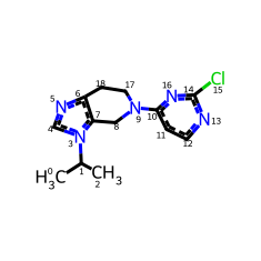 CC(C)n1cnc2c1CN(c1ccnc(Cl)n1)CC2